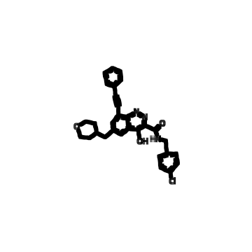 O=C(NCc1ccc(Cl)cc1)c1nnc2c(C#Cc3ccccc3)cc(CC3CCOCC3)cc2c1O